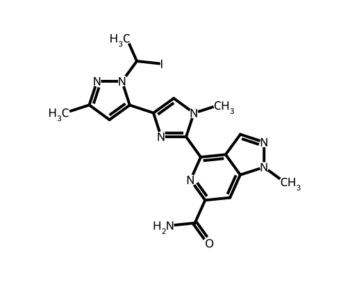 Cc1cc(-c2cn(C)c(-c3nc(C(N)=O)cc4c3cnn4C)n2)n(C(C)I)n1